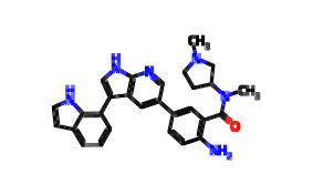 CN1CCC(N(C)C(=O)c2cc(-c3cnc4[nH]cc(-c5cccc6cc[nH]c56)c4c3)ccc2N)C1